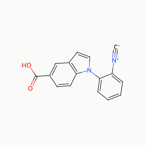 [C-]#[N+]c1ccccc1-n1ccc2cc(C(=O)O)ccc21